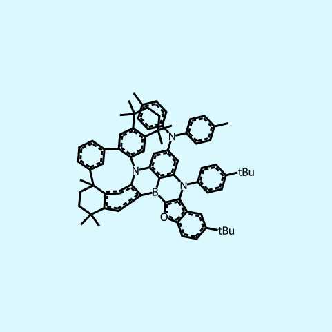 Cc1ccc(N(c2ccc(C)cc2)c2cc3c4c(c2)N(c2ccc(C(C)(C)C)cc2)c2c(oc5ccc(C(C)(C)C)cc25)B4c2cc4c5cc2N3c2cc3c(cc2-c2cccc(c2)C5(C)CCC4(C)C)C(C)(C)CCC3(C)C)cc1